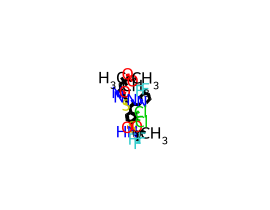 CC[C@H](NS(=O)(=O)c1ccc(-c2sc(-c3nnc(CC(C)(C)C(=O)OC)o3)nc2CN2CCCC(F)(F)C2)c(Cl)c1Cl)C(F)(F)F